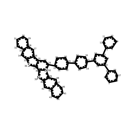 c1ccc(-c2cc(-c3ccccc3)cc(-c3ccc(-c4ccc(-c5cc6c7cc8ccccc8cc7sc6c6nc7cc8ccccc8cc7n56)cc4)cc3)c2)cc1